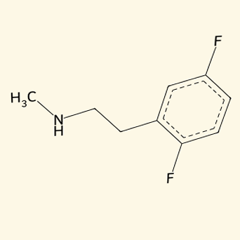 CNCCc1cc(F)ccc1F